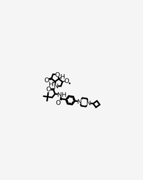 CO[C@H]1CN(C(=O)C(CC(C)(C)C)NC(=O)c2ccc(N3CCN(C4CCC4)CC3)cc2)[C@@H]2C(=O)CO[C@H]12